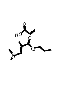 C=CC(=O)O.CCCOC(=O)C(C)=CN(C)C